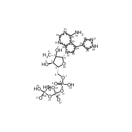 C[C@@]1(O)[C@H](O)[C@@H](COP(=O)(O)OP(=O)(O)OP(=O)(O)O)O[C@H]1n1cc(-c2cn[nH]c2)c2c(N)ncnc21